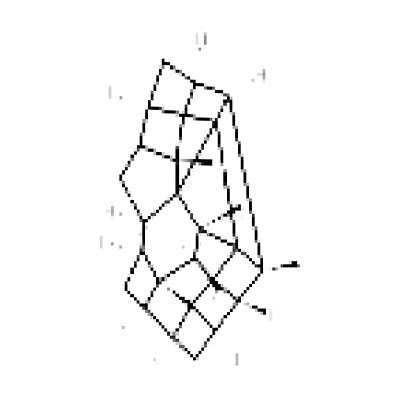 C[C@@]12C3C[C@@H]4[C@@H]5C[C@@H]6[C@@H]7C[C@@H]8[C@H]9[C@H]%10[C@@H]%11[C@@H]%12C[C@H]3C%121C%111C%103C9%10C87[C@@]65[C@]%10(C)[C@]3(C)C412